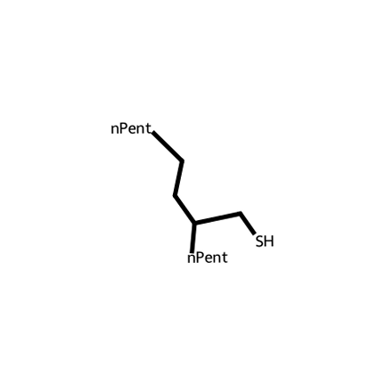 CCCCCCCC(CS)CCCCC